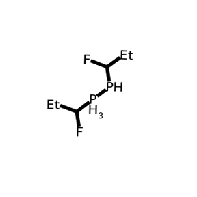 CCC(F)P[PH3]C(F)CC